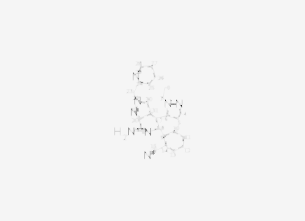 CCn1nccc1-c1c(-c2ccccc2C#N)nc(N)c2nn(Cc3ccccn3)cc12